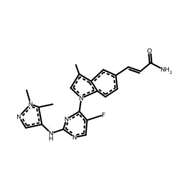 Cc1cn(-c2nc(Nc3cnn(C)c3C)ncc2F)c2ccc(C=CC(N)=O)cc12